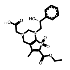 CCOC(=O)C1=C(C)C2=C(N(C[C@H](O)c3ccccc3)CN(CC(=O)O)C2)S1(=O)=O